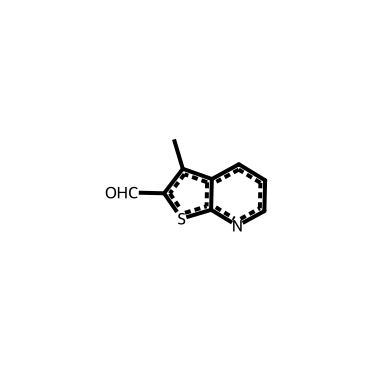 Cc1c(C=O)sc2ncccc12